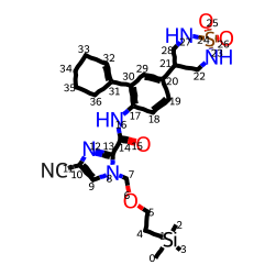 C[Si](C)(C)CCOCn1cc(C#N)nc1C(=O)Nc1ccc(C2CNS(=O)(=O)NC2)cc1C1=CCCCC1